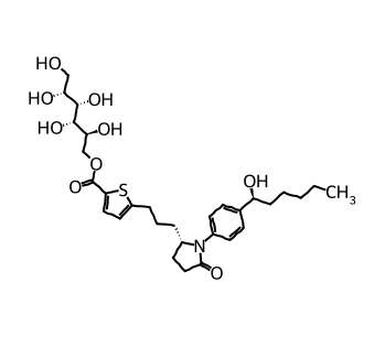 CCCCC[C@H](O)c1ccc(N2C(=O)CC[C@@H]2CCCc2ccc(C(=O)OC[C@H](O)[C@H](O)[C@@H](O)[C@H](O)CO)s2)cc1